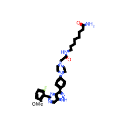 COc1cccc(F)c1-c1ncc2[nH]nc(-c3ccc(N4CCN(CC(=O)NCCCCCCCC(N)=O)CC4)cc3)c2n1